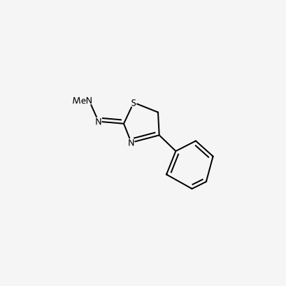 CNN=C1N=C(c2ccccc2)CS1